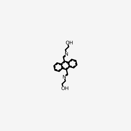 OCCN=Cc1c2ccccc2c(C=NCCO)c2ccccc12